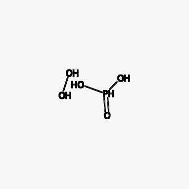 O=[PH](O)O.OO